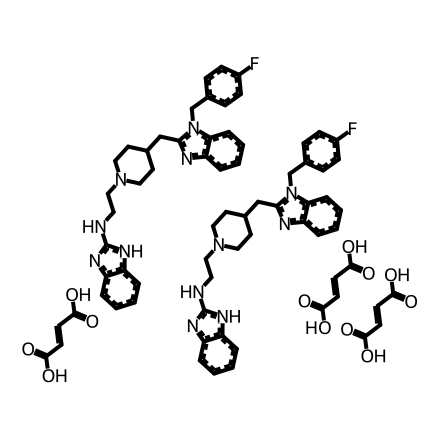 Fc1ccc(Cn2c(CC3CCN(CCNc4nc5ccccc5[nH]4)CC3)nc3ccccc32)cc1.Fc1ccc(Cn2c(CC3CCN(CCNc4nc5ccccc5[nH]4)CC3)nc3ccccc32)cc1.O=C(O)C=CC(=O)O.O=C(O)C=CC(=O)O.O=C(O)C=CC(=O)O